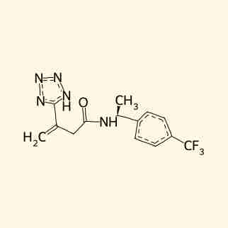 C=C(CC(=O)N[C@@H](C)c1ccc(C(F)(F)F)cc1)c1nnn[nH]1